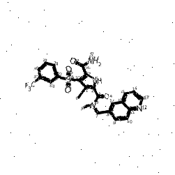 Cc1c(C(=O)N(C)Cc2ccc3ncccc3c2)[nH]c(C(N)=O)c1S(=O)(=O)c1cccc(C(F)(F)F)c1